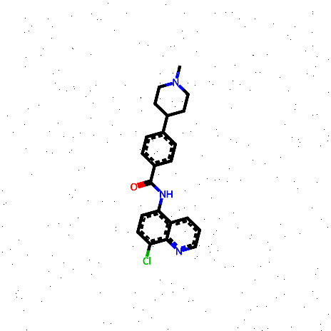 CN1CCC(c2ccc(C(=O)Nc3ccc(Cl)c4ncccc34)cc2)CC1